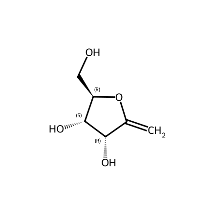 C=C1O[C@H](CO)[C@@H](O)[C@H]1O